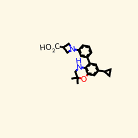 CC1(C)CNc2c(cc(C3CC3)cc2-c2cccc(N3CC(C(=O)O)C3)c2)O1